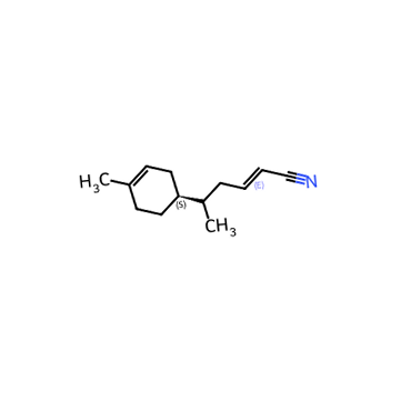 CC1=CC[C@@H](C(C)C/C=C/C#N)CC1